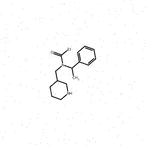 CCC(=O)N(CC1CCCNC1)C(C)c1ccccc1